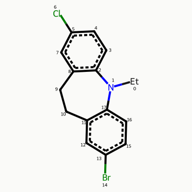 CCN1c2ccc(Cl)cc2CCc2cc(Br)ccc21